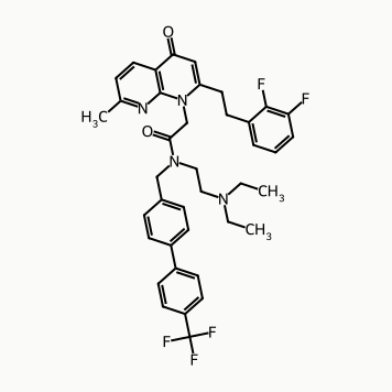 CCN(CC)CCN(Cc1ccc(-c2ccc(C(F)(F)F)cc2)cc1)C(=O)Cn1c(CCc2cccc(F)c2F)cc(=O)c2ccc(C)nc21